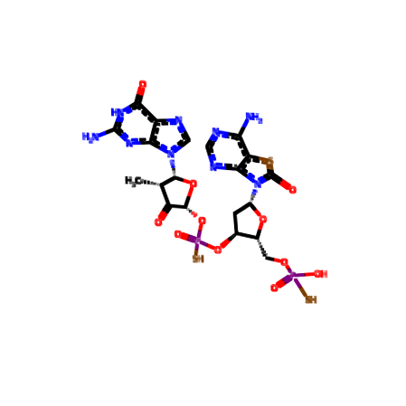 C[C@H]1C(=O)[C@@H](OP(=O)(S)O[C@H]2C[C@H](n3c(=O)sc4c(N)ncnc43)O[C@@H]2COP(=O)(O)S)O[C@H]1n1cnc2c(=O)[nH]c(N)nc21